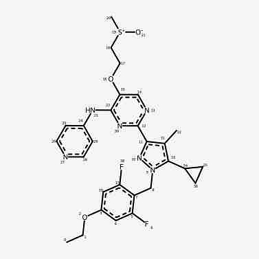 CCOc1cc(F)c(Cn2nc(-c3ncc(OCC[S+](C)[O-])c(Nc4ccncc4)n3)c(C)c2C2CC2)c(F)c1